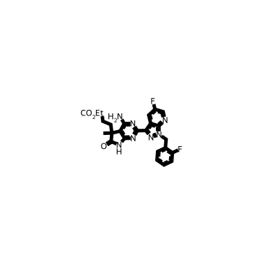 CCOC(=O)CCC1(C)C(=O)Nc2nc(-c3nn(Cc4ccccc4F)c4ncc(F)cc34)nc(N)c21